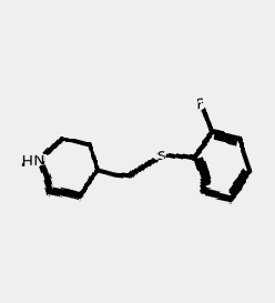 Fc1ccccc1SCC1CCNCC1